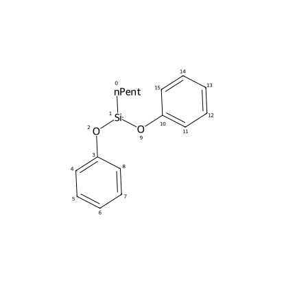 CCCCC[Si](Oc1ccccc1)Oc1ccccc1